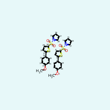 COc1ccc(-c2ccc(S(=O)(=O)n3cccc3)s2)cc1.COc1ccc(-c2ccc(S(=O)(=O)n3cccc3)s2)cc1